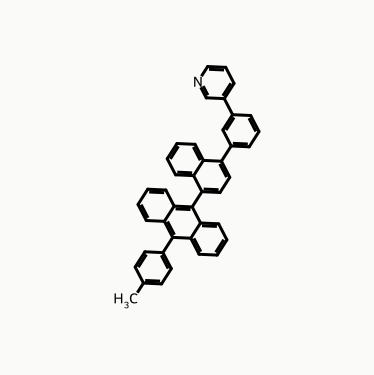 Cc1ccc(-c2c3ccccc3c(-c3ccc(-c4cccc(-c5cccnc5)c4)c4ccccc34)c3ccccc23)cc1